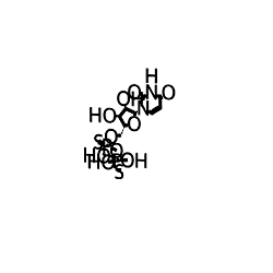 O=c1ccn([C@@H]2O[C@H](COP(O)(=S)OP(O)(O)=S)[C@@H](O)[C@H]2O)c(=O)[nH]1